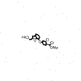 COC(=O)c1ccc(Oc2cccc3cc(CO)oc23)cc1Cl